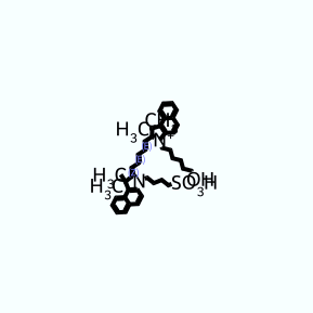 CC1(C)C(/C=C/C=C/C=C2\N(CCCCS(=O)(=O)O)c3ccc4ccccc4c3C2(C)C)=[N+](CCCCCCO)c2ccc3ccccc3c21